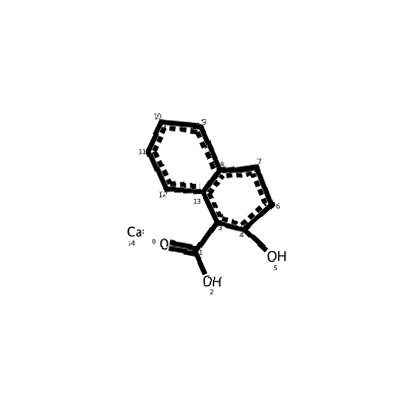 O=C(O)c1c(O)ccc2ccccc12.[Ca]